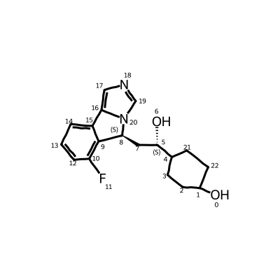 OC1CCC([C@@H](O)C[C@H]2c3c(F)cccc3-c3cncn32)CC1